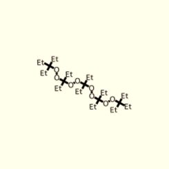 CCC(CC)(CC)OOC(CC)(CC)OOC(CC)(CC)OOC(CC)(CC)OOC(CC)(CC)CC